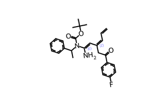 C=C/C=C(\C=C(/N)N(C(=O)OC(C)(C)C)C(C)c1ccccc1)CC(=O)c1ccc(F)cc1